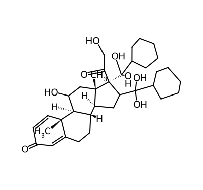 C[C@]12C=CC(=O)C=C1CC[C@@H]1[C@@H]2C(O)C[C@@]2(C)[C@H]1CC(C(O)(O)C1CCCCC1)[C@@]2(C(=O)CO)C(O)(O)C1CCCCC1